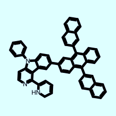 C1=CCNC(c2nccc3c2c2cc(-c4ccc5c(-c6ccc7ccccc7c6)c6ccccc6c(-c6ccc7ccccc7c6)c5c4)ccc2n3-c2ccccc2)=C1